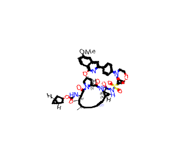 COc1ccc2c(O[C@@H]3C[C@H]4C(=O)N[C@]5(C(=O)NS(=O)(=O)C6CC6)C[C@H]5/C=C\CC[C@H](C)C[C@@H](C)[C@H](NC(=O)OC5C[C@@H]6C[C@@H]6C5)C(=O)N4C3)nc(-c3ccc(N4CCOCC4)cc3)cc2c1